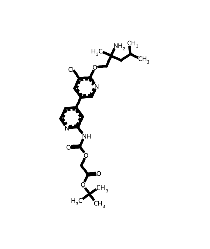 CC(C)CC(C)(N)COc1ncc(-c2ccnc(NC(=O)OCC(=O)OC(C)(C)C)c2)cc1Cl